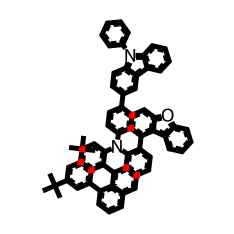 CC(C)(C)c1cc(-c2cccc3cccc(-c4ccccc4N(c4ccc(-c5ccc6c(c5)c5ccccc5n6-c5ccccc5)cc4)c4ccccc4-c4cccc5oc6ccccc6c45)c23)cc(C(C)(C)C)c1